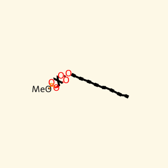 C#CC#CC#CC#CC#CC#CC#CC#COC1OCC2(CO1)COP(OC)OC2